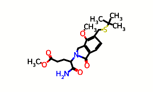 COC(=O)CCC(C(N)=O)N1Cc2c(ccc(CSC(C)(C)C)c2OC)C1=O